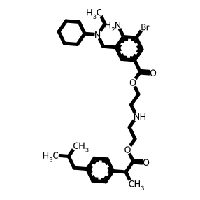 CCN(Cc1cc(C(=O)OCCNCCOC(=O)C(C)c2ccc(CC(C)C)cc2)cc(Br)c1N)C1CCCCC1